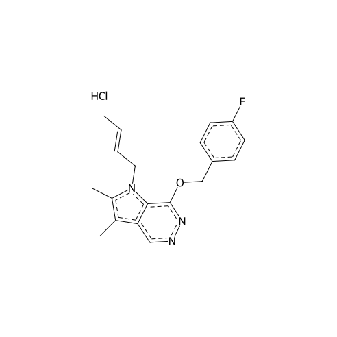 C/C=C/Cn1c(C)c(C)c2cnnc(OCc3ccc(F)cc3)c21.Cl